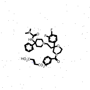 CN(C)C(=O)NC1(c2ccccc2)CCN(CCC2(c3ccc(F)c(F)c3)CN(C(=O)c3ccccc3)CCO2)CC1.O=C(O)/C=C/C(=O)O